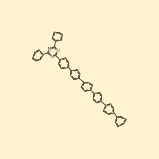 c1ccc(-c2ccc(-c3ccc(-c4ccc(-c5ccc(-c6ccc(-c7nc(-c8ccccc8)nc(-c8ccccc8)n7)cc6)cc5)cc4)cc3)cc2)cc1